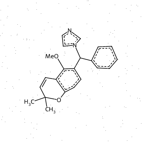 COc1c(C(c2ccccc2)n2ccnc2)ccc2c1C=CC(C)(C)O2